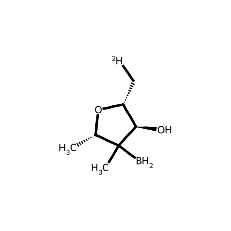 [2H]C[C@H]1O[C@@H](C)C(B)(C)[C@@H]1O